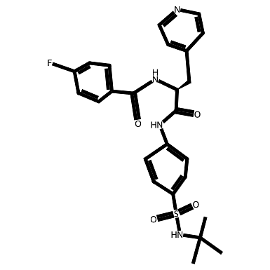 CC(C)(C)NS(=O)(=O)c1ccc(NC(=O)[C@H](Cc2ccncc2)NC(=O)c2ccc(F)cc2)cc1